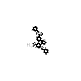 CSc1ccc(OCc2ccccc2)c(C2=C(c3cccc(C(=O)OCc4ccccc4)c3)CCC2)c1